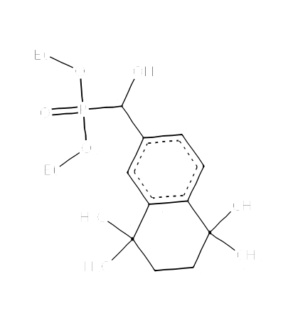 CCOP(=O)(OCC)C(O)c1ccc2c(c1)C(C)(C)CCC2(C)C